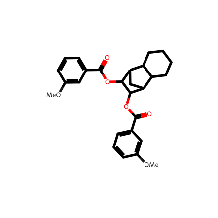 COc1cccc(C(=O)OC2C3CC(C4CCCCC43)C2OC(=O)c2cccc(OC)c2)c1